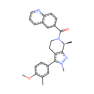 COc1ccc(-c2c3c(nn2C)[C@H](C)N(C(=O)c2ccc4ncccc4c2)CC3)cc1C